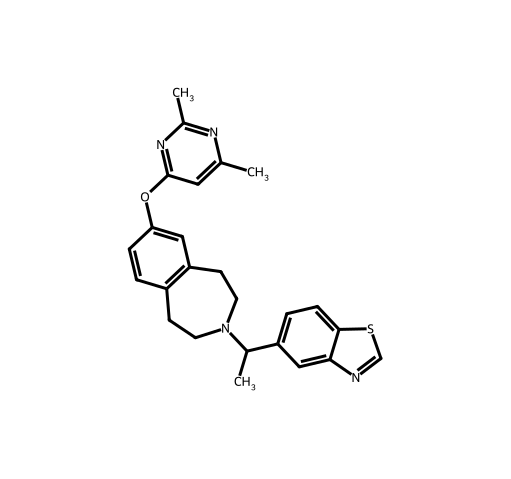 Cc1cc(Oc2ccc3c(c2)CCN(C(C)c2ccc4scnc4c2)CC3)nc(C)n1